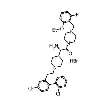 Br.CCOc1cccc(F)c1CN1CCN(C(=O)[C@H](N)C2CCN(CCc3cc(Cl)ccc3-c3ccccc3Cl)CC2)CC1